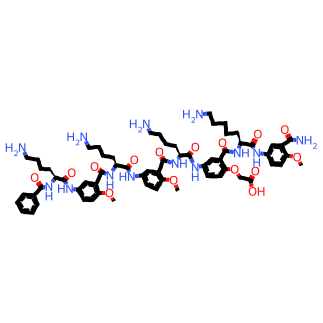 COc1ccc(NC(=O)[C@H](CCCCCN)NC(=O)c2cc(NC(=O)[C@H](CCCCN)NC(=O)c3cc(NC(=O)[C@H](CCCCN)NC(=O)c4cc(NC(=O)[C@H](CCCCN)NC(=O)c5ccccc5)ccc4OC)ccc3OC)ccc2OCC(=O)O)cc1C(N)=O